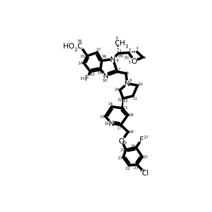 C[C@H]([C@@H]1CCO1)n1c(CN2CC[C@@H](c3ccnc(COc4ccc(Cl)cc4F)c3)C2)nc2c(F)cc(C(=O)O)cc21